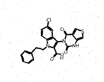 O=C(O)c1c(-n2c(=O)[nH]c3cscc3c2=O)c2cc(Cl)ccc2n1CCc1ccccc1